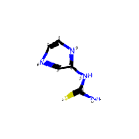 [NH]C(=S)Nc1cnccn1